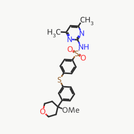 COC1(c2cccc(Sc3ccc(S(=O)(=O)Nc4nc(C)cc(C)n4)cc3)c2)CCOCC1